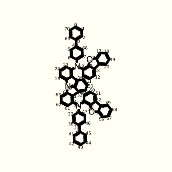 c1ccc(-c2ccc(N(c3cccc4c3oc3ccccc34)c3cccc4c3c3cccc5c6c(N(c7ccc(-c8ccccc8)cc7)c7cccc8c7oc7ccccc78)cccc6n4c35)cc2)cc1